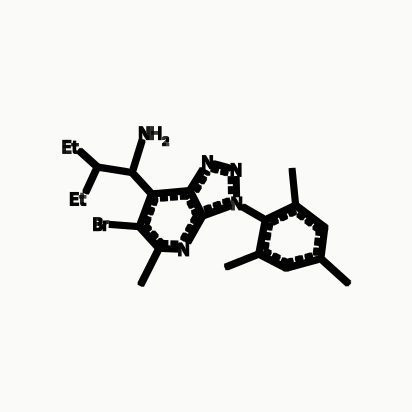 CCC(CC)C(N)c1c(Br)c(C)nc2c1nnn2-c1c(C)cc(C)cc1C